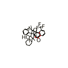 CN(C)C(=O)C(c1ccccc1)(c1ccccc1)C(O)C(C)(NC(=O)c1cccc(C(F)(F)F)c1)N1CCCCC1